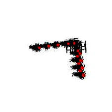 CCCCP(C(C)(C)C)C(C)(C)C.CCCCP(C(C)(C)C)C(C)(C)C.CCCCP(C(C)(C)C)C(C)(C)C.CCCCP(C(C)(C)C)C(C)(C)C.CCCCP(C(C)(C)C)C(C)(C)C.CCCCP(C(C)(C)C)C(C)(C)C.CCCCP(C(C)(C)C)C(C)(C)C.CCCCP(C(C)(C)C)C(C)(C)C.OB(O)F.OB(O)F.OB(O)F.OB(O)F